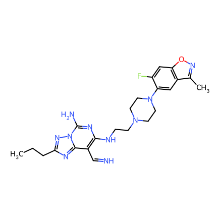 CCCc1nc2c(C=N)c(NCCN3CCN(c4cc5c(C)noc5cc4F)CC3)nc(N)n2n1